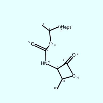 CCCCCCCC(C)OC(=O)NC1C(=O)OC1C